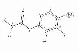 Cc1c(CC(=O)N(C)C)ccc([N+](=O)[O-])c1C